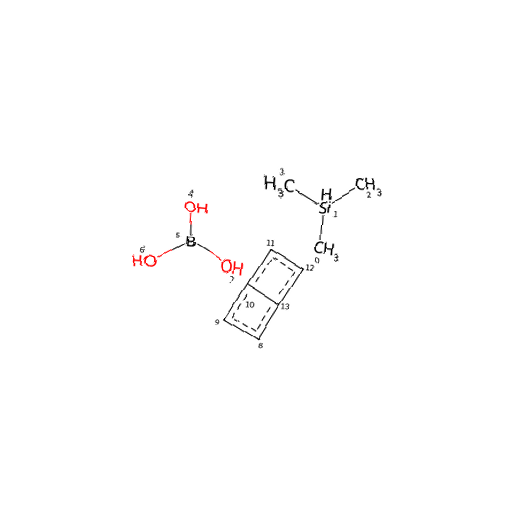 C[SiH](C)C.OB(O)O.c1cc2ccc1-2